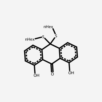 CCCCCCSC1(SCCCCCC)c2cccc(O)c2C(=O)c2c(O)cccc21